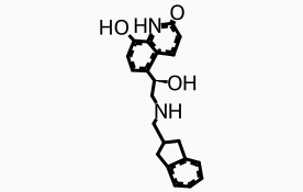 O=c1ccc2c([C@@H](O)CNCC3Cc4ccccc4C3)ccc(O)c2[nH]1